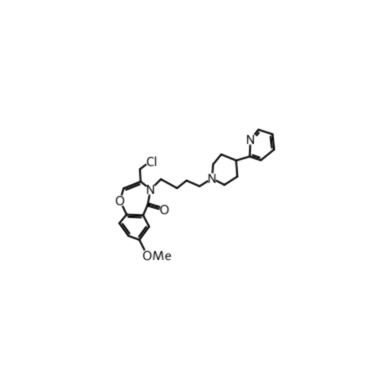 COc1ccc2c(c1)C(=O)N(CCCCN1CCC(c3ccccn3)CC1)C(CCl)=CO2